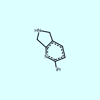 CC(C)c1ccc2c(n1)CNC2